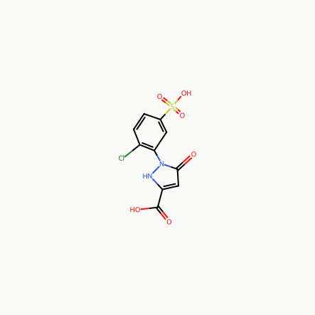 O=C(O)c1cc(=O)n(-c2cc(S(=O)(=O)O)ccc2Cl)[nH]1